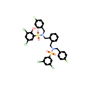 O=S(=O)(c1cc(Cl)cc(Cl)c1)N(Cc1ccc(F)cc1)Cc1ccccc1CN(Cc1ccc(F)cc1)S(=O)(=O)c1cc(Cl)cc(Cl)c1O